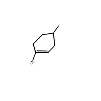 CC1CC=C([O])CC1